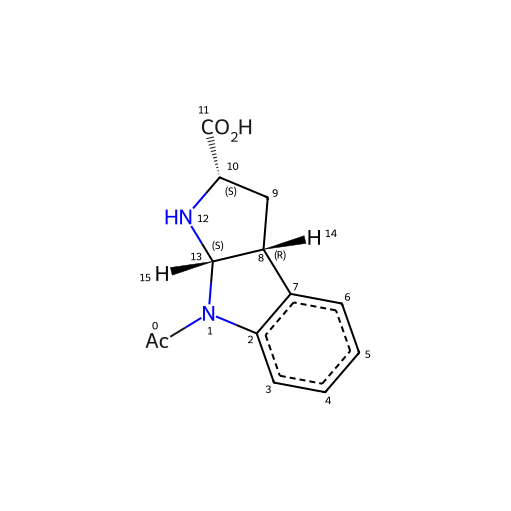 CC(=O)N1c2ccccc2[C@H]2C[C@@H](C(=O)O)N[C@H]21